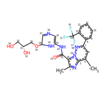 Cc1nc2c(C)cc(-c3ccccc3C(F)(F)F)nn2c1C(=O)NC1=CN=CC(OC[C@H](O)CO)N1